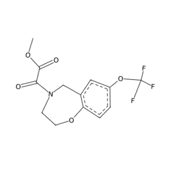 COC(=O)C(=O)N1CCOc2ccc(OC(F)(F)F)cc2C1